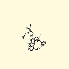 C=CC(=O)N1CCN(c2nc(=O)n3c4nc(c(F)cc24)-c2cnnn2CCCc2ccnc(C(C)C)c2-3)CC1CC#N